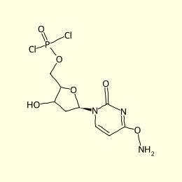 NOc1ccn([C@H]2CC(O)C(COP(=O)(Cl)Cl)O2)c(=O)n1